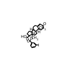 C[C@]12CCC(=O)C=C1CC[C@@H]1[C@@H]2CC[C@@]2(C)[C@H]1CC[C@]2(OC(=O)c1cccc(I)c1)C(=O)O